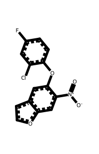 O=[N+]([O-])c1cc2occc2cc1Oc1ccc(F)cc1Cl